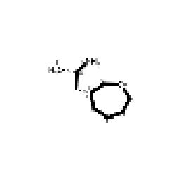 [CH2][C@H](N)C[C@H]1CCCCOC1